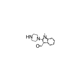 Cn1c(N2CCNCC2)c(C=O)c2ccccc21